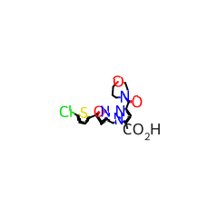 O=C(O)c1cc(C(=O)N2CCCOCC2)nn1Cc1cc(-c2ccc(Cl)s2)on1